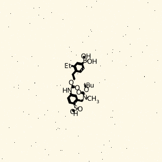 CCc1cc(B(O)O)ccc1CCOC(=O)Nc1ccc([SH](=O)=O)c(CN(C)C(=O)OC(C)(C)C)c1